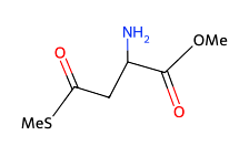 COC(=O)C(N)CC(=O)SC